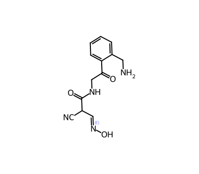 N#CC(/C=N/O)C(=O)NCC(=O)c1ccccc1CN